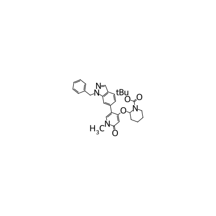 Cn1cc(-c2ccc3cnn(Cc4ccccc4)c3c2)c(OC2CCCCN2C(=O)OC(C)(C)C)cc1=O